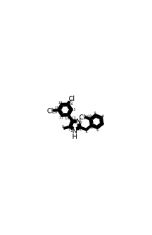 Cc1[nH]c(Cc2ccccc2Cl)nc1-c1cc(Cl)cc(Cl)c1